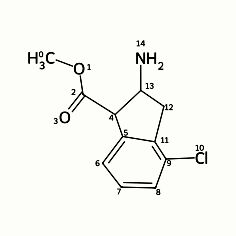 COC(=O)C1c2cccc(Cl)c2CC1N